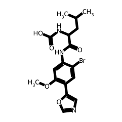 COc1cc(NC(=O)C(CC(C)C)NC(=O)O)c(Br)cc1-c1cnco1